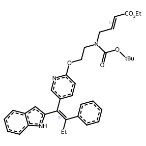 CCOC(=O)/C=C/CN(CCOc1ccc(/C(=C(/CC)c2ccccc2)c2cc3ccccc3[nH]2)cn1)C(=O)OC(C)(C)C